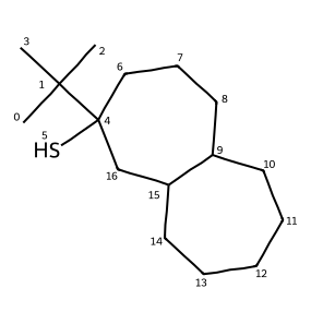 CC(C)(C)C1(S)CCCC2CCCCCC2C1